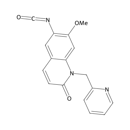 COc1cc2c(ccc(=O)n2Cc2ccccn2)cc1N=C=O